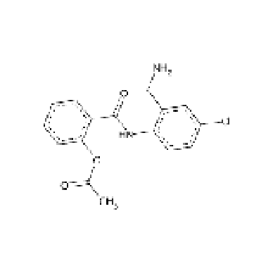 CC(=O)Oc1ccccc1C(=O)Nc1ccc(Cl)cc1CN